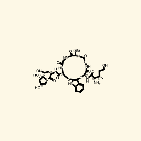 CC[C@H](C)[C@@H]1NC(=O)CNC(=O)[C@@H](NC(=O)[C@@H](N)[C@@H](C)CCO)Cc2c([nH]c3ccccc23)SC[C@@H](C(=O)N[C@@H](CCN=O)C(=O)N2C[C@H](O)C[C@H]2C(=O)O)NC(=O)CNC1=O